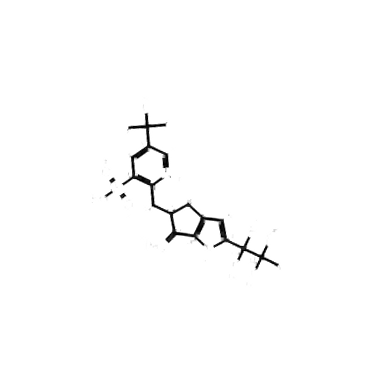 CCS(=O)(=O)c1cc(C(C)(C)F)cnc1CC1Cc2cc(C(F)(F)C(C)(F)F)sc2C1=O